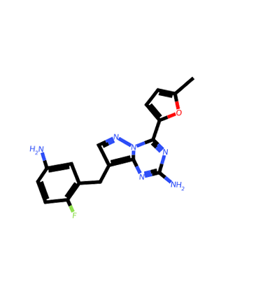 Cc1ccc(-c2nc(N)nc3c(Cc4cc(N)ccc4F)cnn23)o1